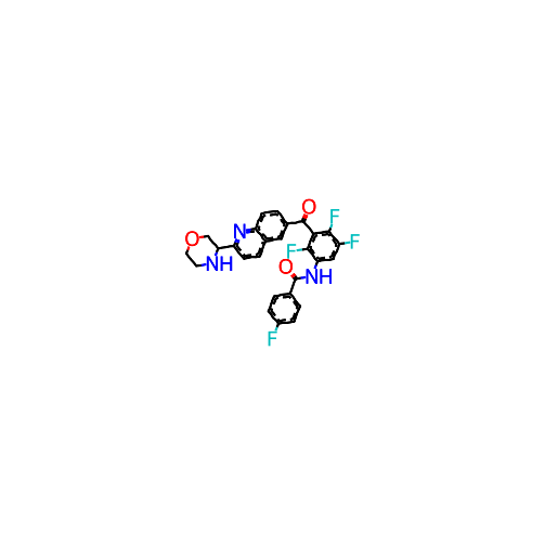 O=C(Nc1cc(F)c(F)c(C(=O)c2ccc3nc(C4COCCN4)ccc3c2)c1F)c1ccc(F)cc1